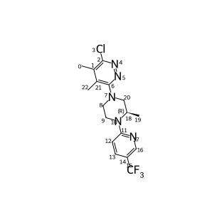 Cc1c(Cl)nnc(N2CCN(c3ccc(C(F)(F)F)cn3)[C@H](C)C2)c1C